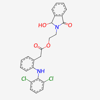 O=C(Cc1ccccc1Nc1c(Cl)cccc1Cl)OCCN1C(=O)c2ccccc2C1O